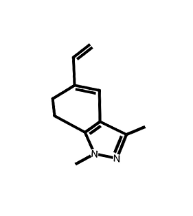 C=CC1=Cc2c(C)nn(C)c2CC1